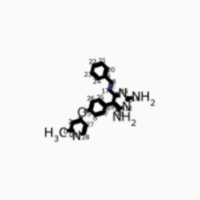 Cc1cc(Oc2ccc(-c3c(N)nc(N)nc3/C=C/c3ccccc3)cc2)ccn1